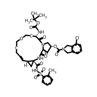 Cc1ccccc1S(=O)(=O)NC(=O)[C@@]12C[C@H]1/C=C\CCCOCC[C@H](NC(=O)OC(C)(C)C)C(=O)N1C[C@H](OC(=O)N3Cc4cccc(Cl)c4C3)C[C@H]1C(=O)N2